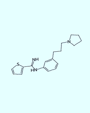 N=C(Nc1cccc(CCCN2CCCC2)c1)c1cccs1